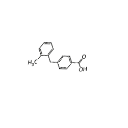 Cc1ccccc1Cc1ccc(C(=O)O)cc1